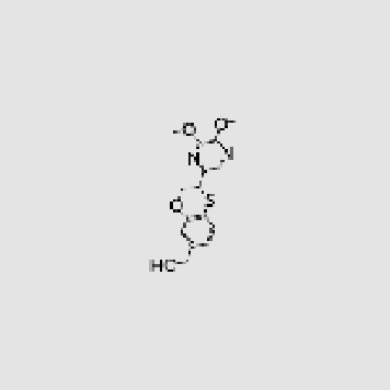 COc1ncc([C@@H]2COc3cc(CO)ccc3S2)nc1OC